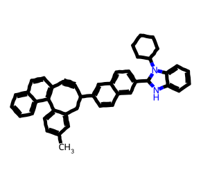 Cc1ccc2c(c1)CC(c1ccc3cc(C4Nc5ccccc5N4C4CCCCC4)ccc3c1)C#Cc1ccc3ccccc3c1-2